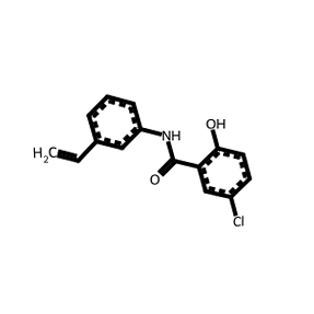 C=Cc1cccc(NC(=O)c2cc(Cl)ccc2O)c1